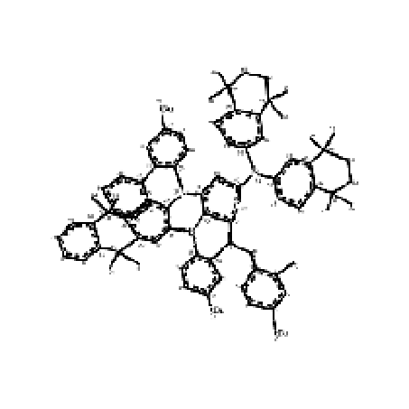 Cc1cc(C(C)(C)C)ccc1CC1c2cc(C(C)(C)C)ccc2B2c3cc4c(cc3N(c3ccc(C(C)(C)C)cc3-c3ccccc3)c3cc(N(c5ccc6c(c5)C(C)(C)CCC6(C)C)c5ccc6c(c5)C(C)(C)CCC6(C)C)cc1c32)C(C)(C)c1ccccc1C4(C)C